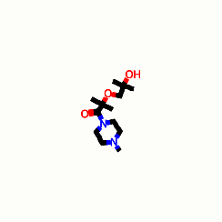 CN1CCN(C(=O)C(C)(C)OCC(C)(C)O)CC1